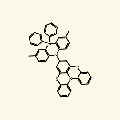 Cc1ccc2c(c1)[Si](c1ccccc1)(c1ccccc1)c1cc(C)ccc1N2c1cc2c3c(c1)Sc1ccccc1B3c1ccccc1O2